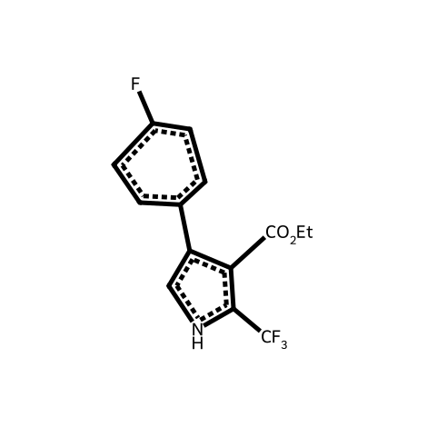 CCOC(=O)c1c(-c2ccc(F)cc2)c[nH]c1C(F)(F)F